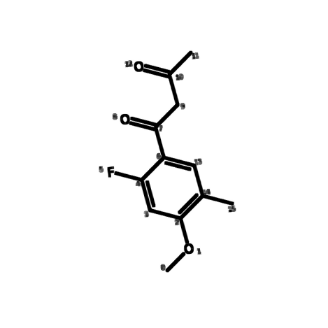 COc1cc(F)c(C(=O)CC(C)=O)cc1C